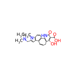 CCN(C)Cc1cc2c3c(ccc2n1C)-c1[nH]c(=O)c(C(=O)O)c(O)c1CC=C3